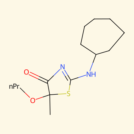 CCCOC1(C)SC(NC2CCCCCC2)=NC1=O